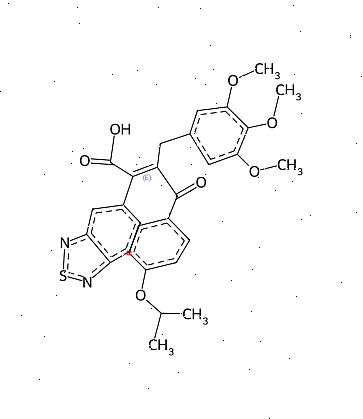 COc1cc(C/C(C(=O)c2ccc(OC(C)C)cc2)=C(\C(=O)O)c2ccc3nsnc3c2)cc(OC)c1OC